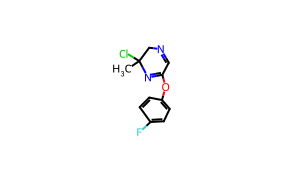 CC1(Cl)CN=CC(Oc2ccc(F)cc2)=N1